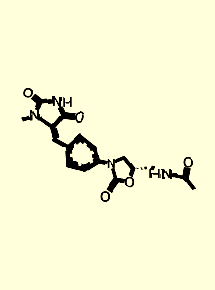 CC(=O)NC[C@H]1CN(c2ccc(/C=C3\C(=O)NC(=O)N3C)cc2)C(=O)O1